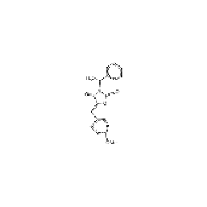 COc1ccc(/C=C2\OC(=O)N([C@H](C)c3ccccc3)C2=O)cc1